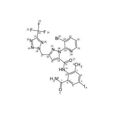 Cc1cc(I)cc(C(N)=O)c1NC(=O)c1cc(Cn2nnc(C(F)(F)F)n2)nn1-c1ncccc1Br